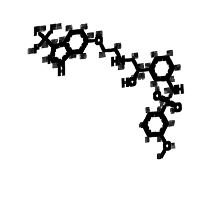 COc1cccc(S(=O)(=O)Nc2cccc([C@@H](O)CNCCOc3ccc4c(C(F)(F)F)n[nH]c4c3)c2)c1